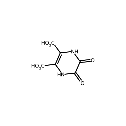 O=C(O)c1[nH]c(=O)c(=O)[nH]c1C(=O)O